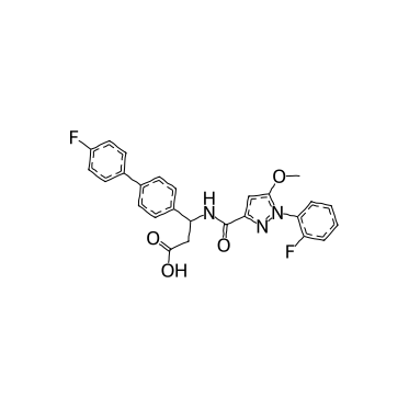 COc1cc(C(=O)NC(CC(=O)O)c2ccc(-c3ccc(F)cc3)cc2)nn1-c1ccccc1F